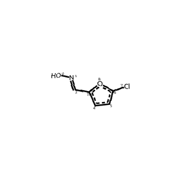 ON=Cc1ccc(Cl)o1